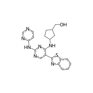 OCC1CCC(Nc2nc(Nc3ccncn3)ncc2-c2nc3ccccc3s2)C1